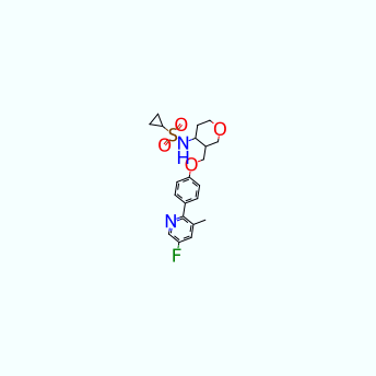 Cc1cc(F)cnc1-c1ccc(OCC2COCCC2NS(=O)(=O)C2CC2)cc1